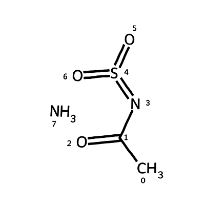 CC(=O)N=S(=O)=O.N